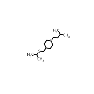 CC(C)CCN1CCC(CSC(C)C)CC1